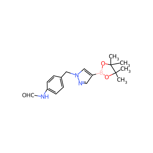 CC1(C)OB(c2cnn(Cc3ccc(NC=O)cc3)c2)OC1(C)C